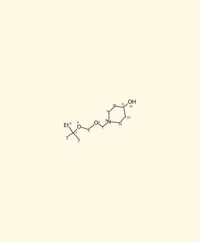 CCC(C)(C)OCOCN1CCC(O)CC1